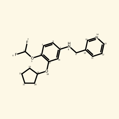 FC(F)Oc1ccc(NCc2cccnc2)cc1OC1CCCC1